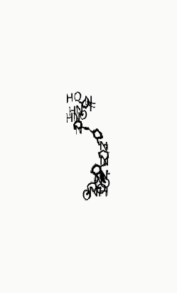 CN(Cc1cccc(C#Cc2cc(NC(=O)Nc3cc(F)ncc3CO)ccn2)c1)C1CCN(Cc2cccc3c2n(C)c(=O)n3C2CCC(=O)NC2=O)CC1